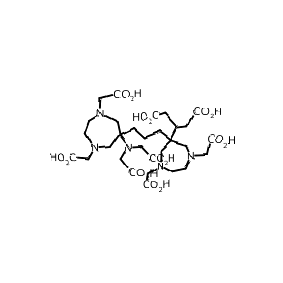 O=C(O)CC(CC(=O)O)C1(CCCC2(N(CC(=O)O)CC(=O)O)CN(CC(=O)O)CCN(CC(=O)O)C2)CN(CC(=O)O)CCN(CC(=O)O)C1